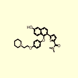 CN(C)C(=O)c1ccc(-c2ccc3cc(O)ccc3c2Oc2ccc(OCCN3CCCCC3)cc2)s1